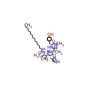 CCCCCCCCCCCCCCCC(=O)N[C@H](C(=O)N[C@@H](Cc1c[nH]cn1)C(=O)N[C@@H](C)C(=O)N[C@@H](Cc1ccc(O)cc1)C(=O)NC)C(C)C